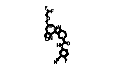 N#Cc1cc(NC(=O)N2CCc3nn4c(c3C2)-c2nocc2C[C@@H](COCC(F)F)C4)ccc1F